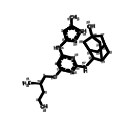 Cc1cc(Nc2cc(OC[C@H](C)CCO)nc(NC3C4CC5CC3CC(O)(C5)C4)n2)n[nH]1